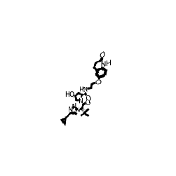 CC(C)(C)[C@@H](C(=O)N1C[C@H](O)C[C@H]1C(=O)NCCOc1ccc2c(c1)CCC(=O)N2)n1cc(C2CC2)nn1